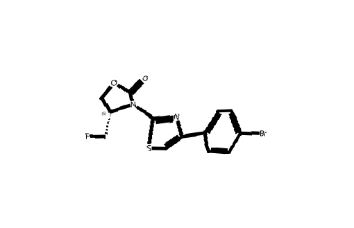 O=C1OC[C@@H](CF)N1c1nc(-c2ccc(Br)cc2)cs1